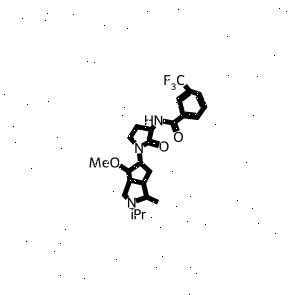 COC1C2CN(C(C)C)C(C)C2CC1N1CCC(NC(=O)c2cccc(C(F)(F)F)c2)C1=O